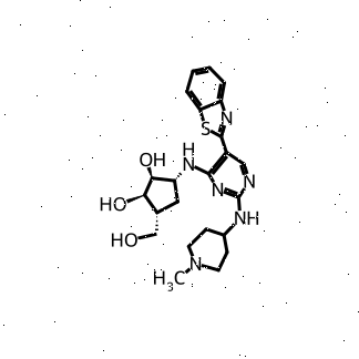 CN1CCC(Nc2ncc(-c3nc4ccccc4s3)c(N[C@@H]3C[C@H](CO)[C@@H](O)[C@H]3O)n2)CC1